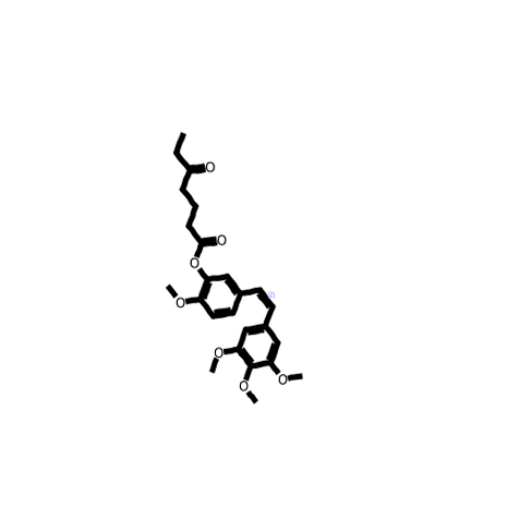 CCC(=O)CCCC(=O)Oc1cc(/C=C\c2cc(OC)c(OC)c(OC)c2)ccc1OC